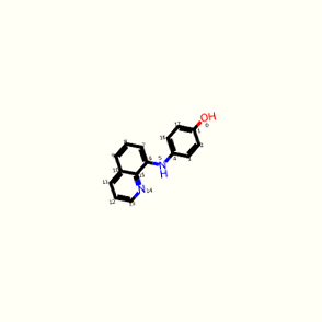 Oc1ccc(Nc2cccc3cccnc23)cc1